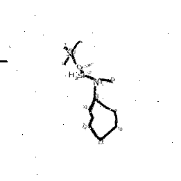 CN([SiH2]O[Si](C)(C)C)C1CCCCC1